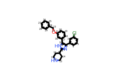 Clc1cccc(-c2nc(C3CCNCC3)[nH]c2-c2cccc(OCc3ccccc3)c2)c1